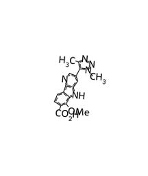 COc1c(C(=O)O)ccc2c1[nH]c1cc(-c3c(C)nnn3C)cnc12